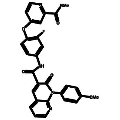 CNC(=O)c1cc(Oc2ccc(NC(=O)c3cc4cccnc4n(-c4ccc(OC)cc4)c3=O)cc2F)ccn1